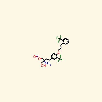 NC(CO)(CCc1ccc(OCCCc2ccccc2C(F)(F)F)c(C(F)(F)F)c1)COP=O